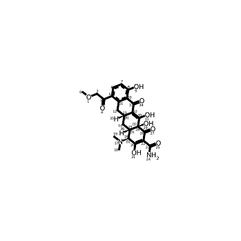 COCC(=O)c1ccc(O)c2c1C[C@H]1C[C@H]3[C@H](N(C)C)C(O)=C(C(N)=O)C(=O)[C@@]3(O)C(O)=C1C2=O